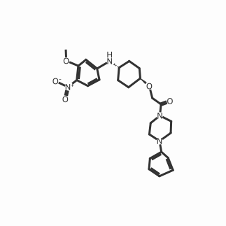 COc1cc(N[C@H]2CC[C@H](OCC(=O)N3CCN(c4ccccc4)CC3)CC2)ccc1[N+](=O)[O-]